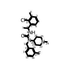 Cc1cccc(C(C)NC(=O)N(Cc2cccc(F)c2)C2CCN(C)CC2)c1Cl